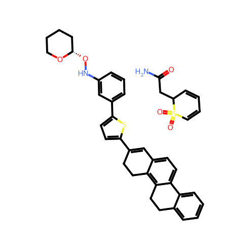 C1=C(c2ccc(-c3cccc(NO[C@H]4CCCCO4)c3)s2)CCc2c1ccc1c2CCc2ccccc2-1.NC(=O)CC1C=CC=CS1(=O)=O